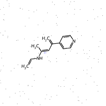 C=CN/C(C)=C/C(=C)c1ccncc1